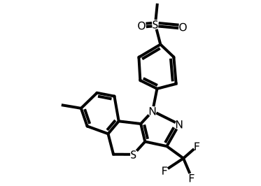 Cc1ccc2c(c1)CSc1c(C(F)(F)F)nn(-c3ccc(S(C)(=O)=O)cc3)c1-2